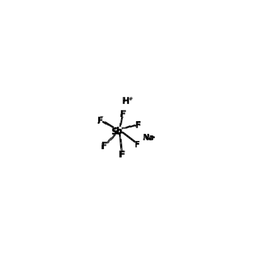 [F][Sb-]([F])([F])([F])([F])[F].[H+].[Na]